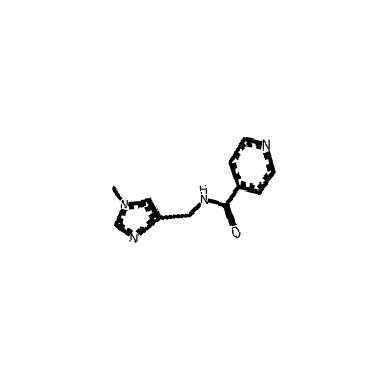 Cn1cnc(CNC(=O)c2ccncc2)c1